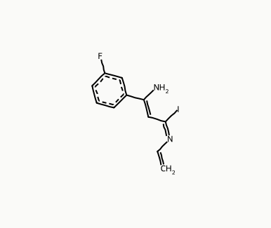 C=C/N=C(I)\C=C(/N)c1cccc(F)c1